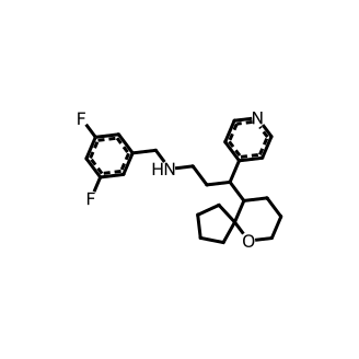 Fc1cc(F)cc(CNCCC(c2ccncc2)C2CCCOC23CCCC3)c1